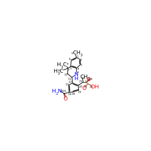 Cc1ccc2c(c1)C(C)(C)CC(c1cc(C(N)=O)ccc1C(C)S(=O)(=O)O)N2